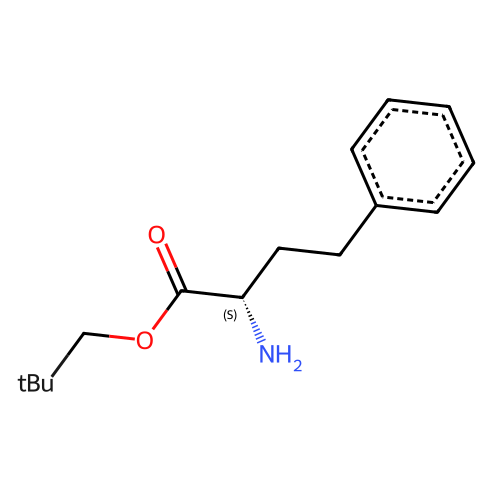 CC(C)(C)COC(=O)[C@@H](N)CCc1ccccc1